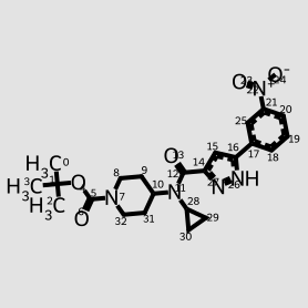 CC(C)(C)OC(=O)N1CCC(N(C(=O)c2cc(-c3cccc([N+](=O)[O-])c3)[nH]n2)C2CC2)CC1